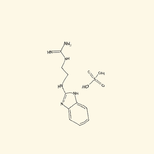 N=C(N)NCCNc1nc2ccccc2[nH]1.O=S(=O)(O)O